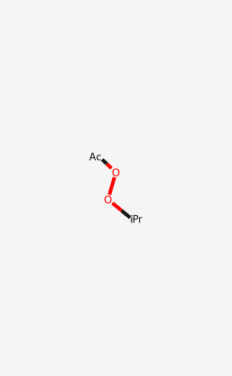 [CH2]C([CH2])OOC(C)=O